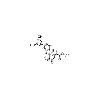 CCOC(=O)NC1=CC(=O)C(OC)=CC1=Nc1ccc(N(CCO)CCO)cc1C